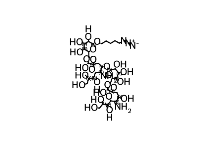 [N-]=[N+]=NCCCCCO[C@H]1OC(CO[C@]2(C(=O)O)C[C@@H](O[C@H]3OC(CO[C@]4(C(=O)O)C[C@@H](O)[C@@H](N)C([C@H](O)[C@H](O)CO)O4)[C@H](O)[C@H](O)C3O)[C@@H](N)C([C@H](O)[C@H](O)CO)O2)[C@H](O)[C@H](O)C1O